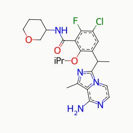 Cc1nc(C(C)c2cc(Cl)c(F)c(C(=O)NC3CCCOC3)c2OC(C)C)n2ccnc(N)c12